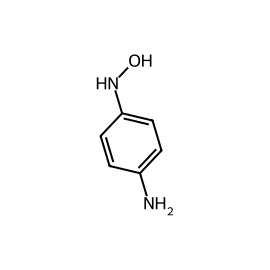 Nc1ccc(NO)cc1